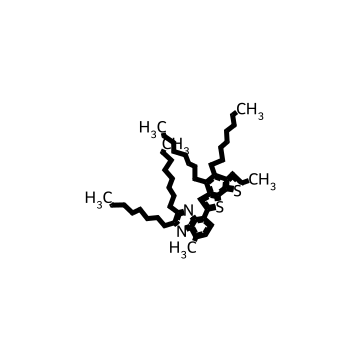 CCCCCCCCc1nc2c(C)ccc(-c3cc4c(CCCCCCCC)c(CCCCCCCC)c5cc(C)sc5c4s3)c2nc1CCCCCCCC